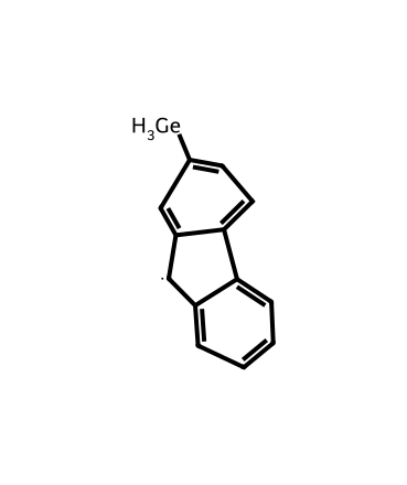 [GeH3][c]1ccc2c(c1)[CH]c1ccccc1-2